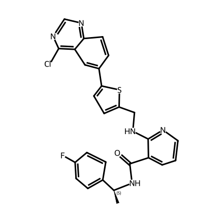 C[C@H](NC(=O)c1cccnc1NCc1ccc(-c2ccc3ncnc(Cl)c3c2)s1)c1ccc(F)cc1